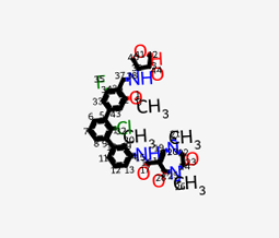 COc1cc(-c2cccc(-c3cccc(NC(=O)C4=CN(C)C5OC5N(C)C4=O)c3C)c2Cl)cc(F)c1CN[C@H]1COC[C@@H]1O